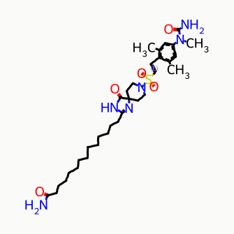 Cc1cc(N(C)C(N)=O)cc(C)c1/C=C/S(=O)(=O)N1CCC2(CC1)N=C(CCCCCCCCCCCCCC(N)=O)NC2=O